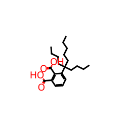 CCCCCC(CCCC)(CCCC)c1cccc(C(=O)O)c1C(=O)O